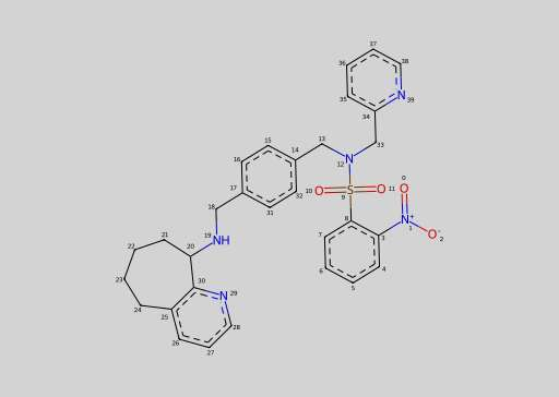 O=[N+]([O-])c1ccccc1S(=O)(=O)N(Cc1ccc(CNC2CCCCc3cccnc32)cc1)Cc1ccccn1